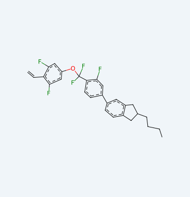 C=Cc1c(F)cc(OC(F)(F)c2ccc(-c3ccc4c(c3)CC(CCCC)C4)cc2F)cc1F